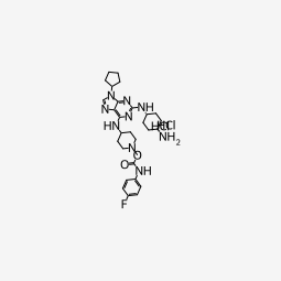 Cl.Cl.N[C@H]1CC[C@H](Nc2nc(NC3CCN(OC(=O)Nc4ccc(F)cc4)CC3)c3ncn(C4CCCC4)c3n2)CC1